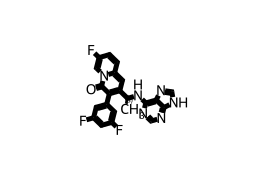 C[C@H](Nc1ncnc2[nH]cnc12)c1cc2ccc(F)cn2c(=O)c1-c1cc(F)cc(F)c1